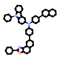 c1ccc(-c2nc3c(ccc4ccc(-c5ccc(N(c6ccc(-c7ccc8ccccc8c7)cc6)c6ccc7c(c6)c6ccccc6n7-c6ccccc6)cc5)cc43)o2)cc1